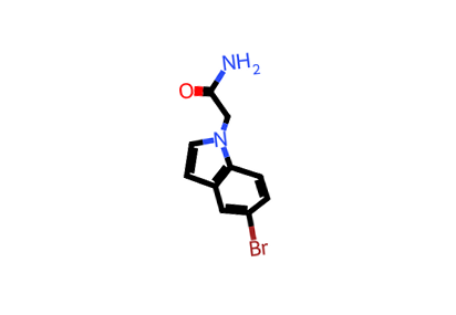 NC(=O)Cn1ccc2cc(Br)ccc21